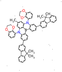 Cc1cc2c3c(c1)N(c1cccc4c1OCCO4)c1cc(-c4ccc5c(c4)C(C)(C)c4ccccc4-5)ccc1B3c1ccc(-c3ccc4c(c3)C(C)(C)c3ccccc3-4)cc1N2c1cccc2c1OCCO2